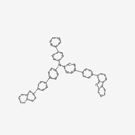 c1ccc(-c2ccc(N(c3ccc(-c4ccc(-c5ccc6ccccc6c5)cc4)cc3)c3ccc(-c4ccc(-c5cccc6c5oc5ccccc56)cc4)cc3)cc2)cc1